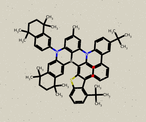 Cc1cc2c3c(c1)N(c1ccc(C(C)(C)C)cc1-c1ccccc1)c1ccc4c(sc5cccc(C(C)(C)C)c54)c1B3c1cc3c(cc1N2c1ccc2c(c1)C(C)(C)CCC2(C)C)C(C)(C)CCC3(C)C